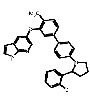 O=C(O)c1ccc(-c2ccc(N3CCCC3c3ccccc3Cl)cc2)cc1Oc1cnc2[nH]ccc2c1